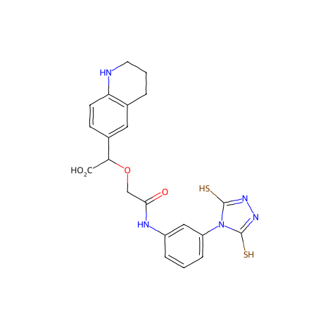 O=C(COC(C(=O)O)c1ccc2c(c1)CCCN2)Nc1cccc(-n2c(S)nnc2S)c1